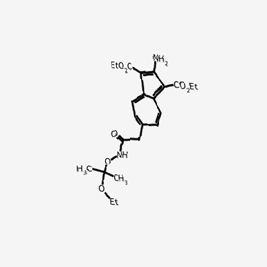 CCOC(=O)c1c2ccc(CC(=O)NOC(C)(C)OCC)ccc-2c(C(=O)OCC)c1N